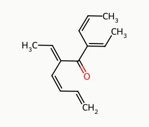 C=C/C=C\C(=C/C)C(=O)C(/C=C\C)=C/C